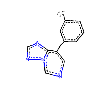 FC(F)(F)c1cccc(-c2cncn3ncnc23)c1